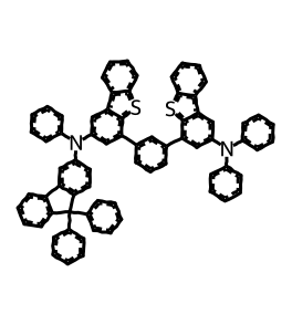 c1ccc(N(c2ccccc2)c2cc(-c3cccc(-c4cc(N(c5ccccc5)c5ccc6c(c5)-c5ccccc5C6(c5ccccc5)c5ccccc5)cc5c4sc4ccccc45)c3)c3sc4ccccc4c3c2)cc1